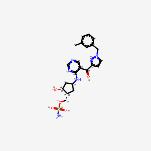 Cc1cccc(Cn2ccc(C(=O)c3cncnc3NC3C[C@H](COS(N)(=O)=O)[C@@H](O)C3)n2)c1